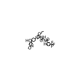 CCCO[C@H]1CN(C2CCC(O)(c3ccc(OC)nc3)CC2)C[C@@H]1NC(=O)CNC(=O)c1cccc(C(F)(F)F)c1